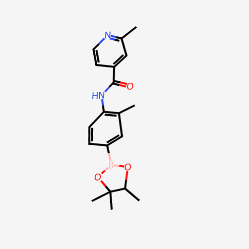 Cc1cc(C(=O)Nc2ccc(B3OC(C)C(C)(C)O3)cc2C)ccn1